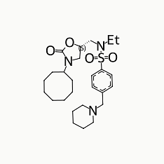 CCN(C[C@@H]1CN(C2CCCCCCC2)C(=O)O1)S(=O)(=O)c1ccc(CN2CCCCC2)cc1